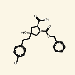 O=C(O)[C@@H]1CC(O)(CCc2ccc(Cl)cc2)CN1C(=O)OCc1ccccc1